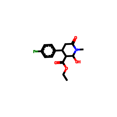 CCOC(=O)C1C(c2ccc(F)cc2)CC(=O)N(C)C1O